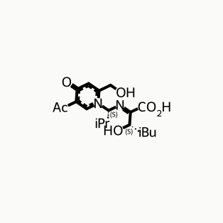 CCC(C)[C@H](O)C(=N[C@H](C(C)C)n1cc(C(C)=O)c(=O)cc1CO)C(=O)O